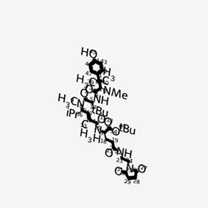 CN[C@H](C(=O)N[C@H](C(=O)N(C)[C@H](/C=C(\C)C(=O)N[C@H](CCC(=O)NCCN1C(=O)C=CC1=O)C(=O)OC(C)(C)C)C(C)C)C(C)(C)C)C(C)(C)c1ccc(O)cc1